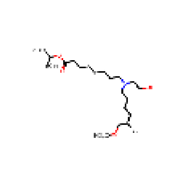 CCCCCCCCC(CCCCCCCC)OC(=O)CCCCCCCN(CCO)CCCCC(CC)COC(=O)O